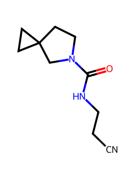 N#CCCNC(=O)N1CCC2(CC2)C1